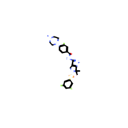 CN1CCN(c2ccc(C(=O)Nc3n[nH]c4c3CN(S(=O)(=O)c3cc(F)cc(F)c3)C4(C)C)cc2F)CC1